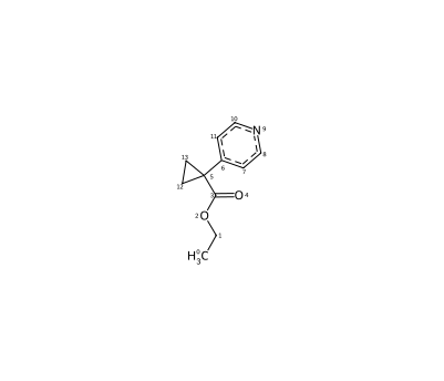 CCOC(=O)C1(c2ccncc2)CC1